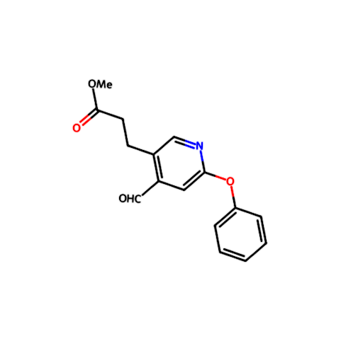 COC(=O)CCc1cnc(Oc2ccccc2)cc1C=O